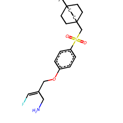 CC12CCC(CS(=O)(=O)c3ccc(OC/C(=C/F)CN)cc3)(CC1)CC2